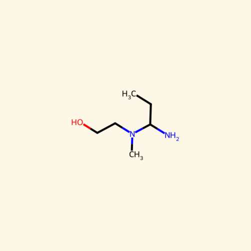 CCC(N)N(C)CCO